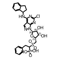 O=P(O)(O)C(Cc1ccccc1)S(=O)(=O)C[C@H]1O[C@@H](n2ncc3c(NC4CCc5ccccc54)nc(Cl)nc32)[C@H](O)[C@@H]1O